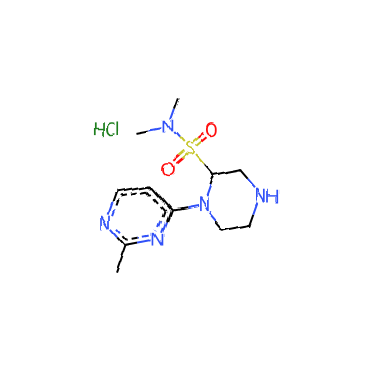 Cc1nccc(N2CCNCC2S(=O)(=O)N(C)C)n1.Cl